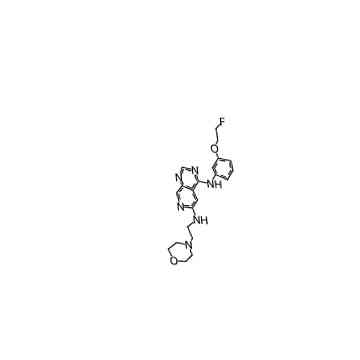 FCCOc1cccc(Nc2ncnc3cnc(NCCN4CCOCC4)cc23)c1